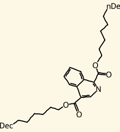 CCCCCCCCCCCCCCCCOC(=O)c1cnc(C(=O)OCCCCCCCCCCCCCCCC)c2ccccc12